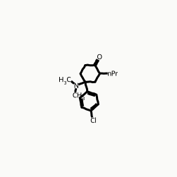 CCCC1CC(c2ccc(Cl)cc2)(N(C)C)CCC1=O